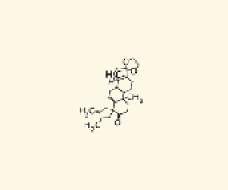 C=CCC1(CC=C)C(=O)CCC2(C)C1=CCC1C2CCC2(C)[C@H]1CCC21OCCO1